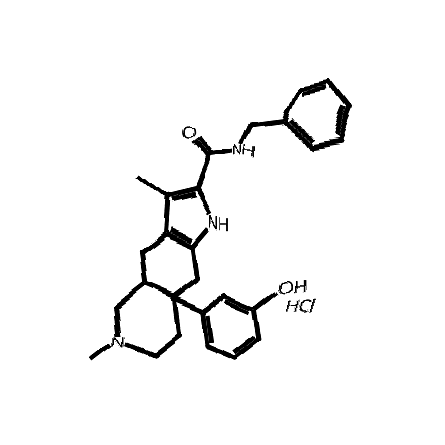 Cc1c(C(=O)NCc2ccccc2)[nH]c2c1CC1CN(C)CCC1(c1cccc(O)c1)C2.Cl